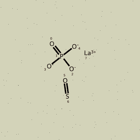 O=P([O-])([O-])[O-].O=S.[La+3]